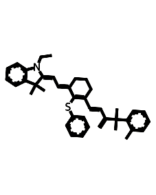 C=C(/C=C/C1=C(Sc2ccccc2)C(=C/C=C2/N(CC)c3ccccc3C2(C)C)/CCC1)C(C)(C)c1ccccc1C